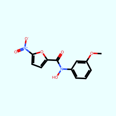 COc1cccc(N(O)C(=O)c2ccc([N+](=O)[O-])o2)c1